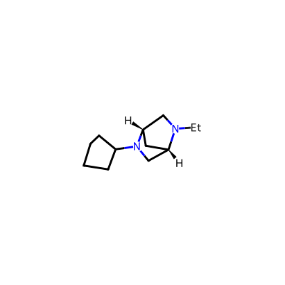 CCN1C[C@@H]2C[C@H]1CN2C1CCCC1